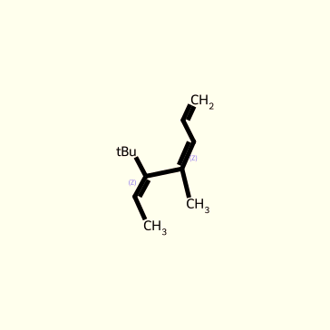 C=C/C=C(C)\C(=C/C)C(C)(C)C